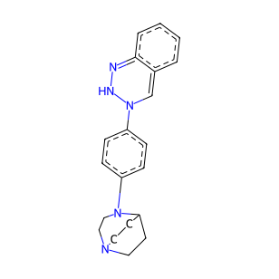 C1=c2ccccc2=NNN1c1ccc(N2CCN3CCC2CC3)cc1